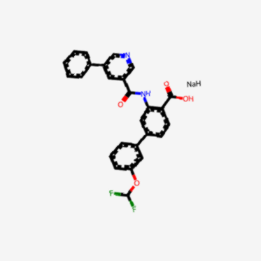 O=C(Nc1cc(-c2cccc(OC(F)F)c2)ccc1C(=O)O)c1cncc(-c2ccccc2)c1.[NaH]